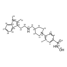 CC=C(/N=C\C(=C/C)C(=O)NO)N1CCC(CNCCc2c(C)n(C)c3ccccc23)CC1